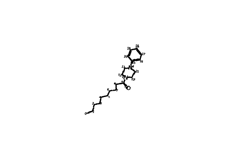 CCCCCCCCCC(=O)N1CCN(c2ccccc2)CC1